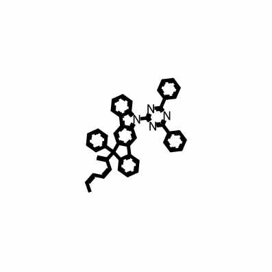 C=C(/C=C\C=C/C)C1(c2ccccc2)c2ccccc2-c2cc3c(cc21)c1ccccc1n3-c1nc(-c2ccccc2)nc(-c2ccccc2)n1